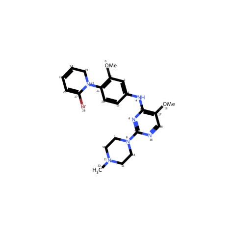 COc1cc(Nc2nc(N3CCN(C)CC3)ncc2OC)ccc1N1CC=CC=C1Br